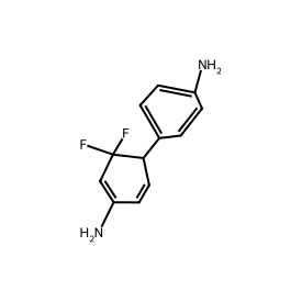 NC1=CC(F)(F)C(c2ccc(N)cc2)C=C1